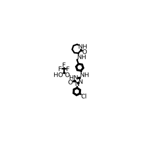 O=C(O)C(F)(F)F.O=C1NCCCCC1NCc1ccc(Nc2nn(-c3cccc(Cl)c3)c(=O)[nH]2)cc1